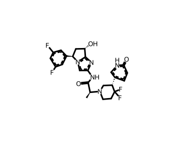 C[C@@H](C(=O)Nc1cn2c(n1)[C@@H](O)C[C@@H]2c1cc(F)cc(F)c1)N1CCC(F)(F)[C@@H](c2ccc(=O)[nH]c2)C1